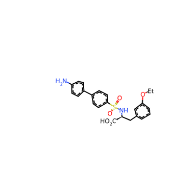 CCOc1cccc(C[C@H](NS(=O)(=O)c2ccc(-c3ccc(N)cc3)cc2)C(=O)O)c1